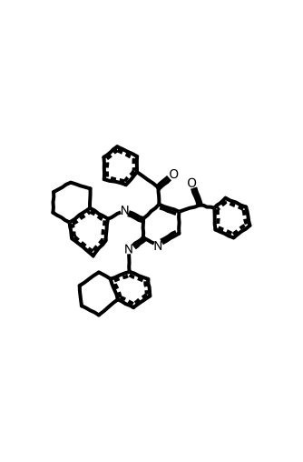 O=C(C1=C(C(=O)c2ccccc2)C(=Nc2cccc3c2CCCC3)C(=Nc2cccc3c2CCCC3)N=C1)c1ccccc1